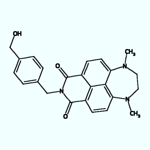 CN1CCN(C)c2ccc3c4c(ccc1c24)C(=O)N(Cc1ccc(CO)cc1)C3=O